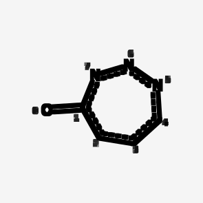 O=c1cccnnn1